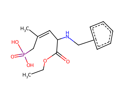 CCOC(=O)C(C=C(C)CP(=O)(O)O)NCc1ccccc1